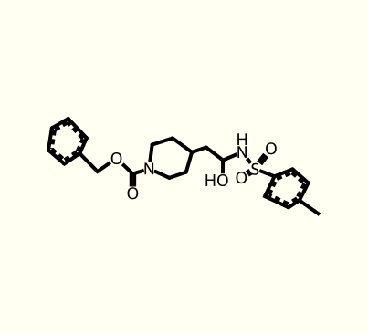 Cc1ccc(S(=O)(=O)NC(O)CC2CCN(C(=O)OCc3ccccc3)CC2)cc1